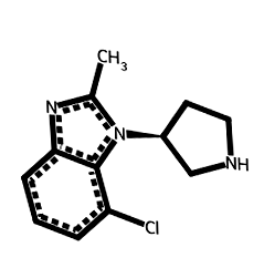 Cc1nc2cccc(Cl)c2n1[C@H]1CCNC1